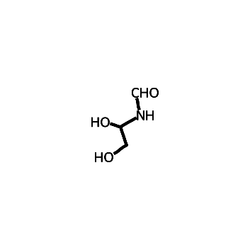 O=CNC(O)CO